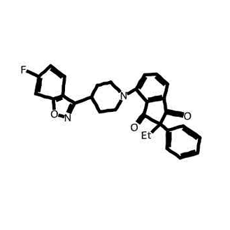 CCC1(c2ccccc2)C(=O)c2cccc(N3CCC(c4noc5cc(F)ccc45)CC3)c2C1=O